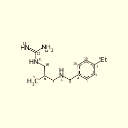 CCc1ccc(CNCC(C)CNC(=N)N)cc1